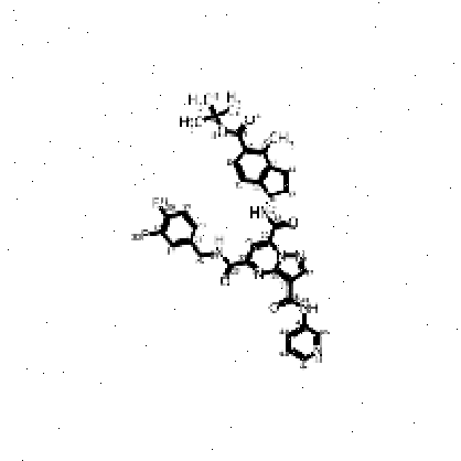 Cc1c(C(=O)OC(C)(C)C)ccc2c1CC[C@@H]2NC(=O)c1cc(C(=O)NCc2ccc(F)c(F)c2)nc2c(C(=O)Nc3cccnc3)cnn12